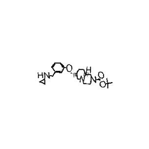 CC(C)(C)OC(=O)N1CCN2C[C@H](COc3cccc(CNC4CC4)c3)CC[C@H]2C1